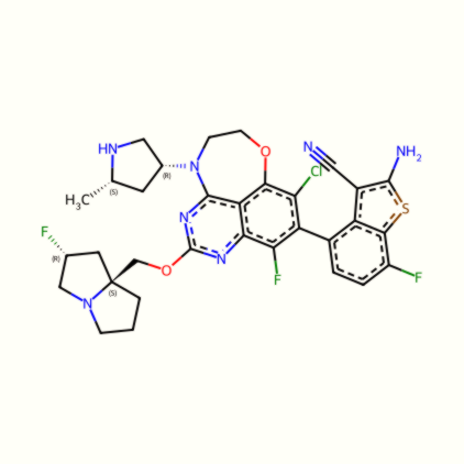 C[C@H]1C[C@@H](N2CCOc3c(Cl)c(-c4ccc(F)c5sc(N)c(C#N)c45)c(F)c4nc(OC[C@@]56CCCN5C[C@H](F)C6)nc2c34)CN1